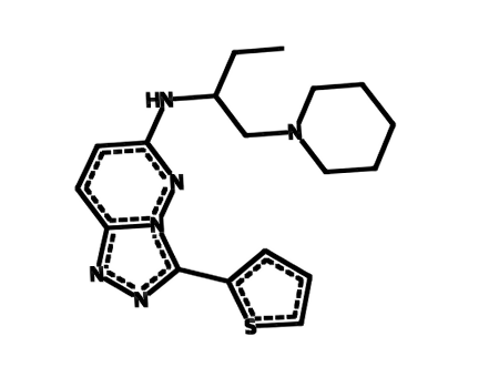 CCC(CN1CCCCC1)Nc1ccc2nnc(-c3cccs3)n2n1